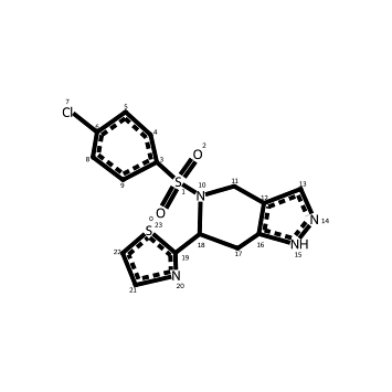 O=S(=O)(c1ccc(Cl)cc1)N1Cc2cn[nH]c2CC1c1nccs1